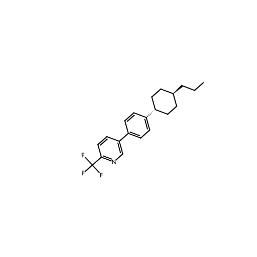 CCC[C@H]1CC[C@H](c2ccc(-c3ccc(C(F)(F)F)nc3)cc2)CC1